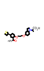 CCCC(=O)c1cc(-c2ccsc2)ccc1OCCCOc1ccc2c(ccn2C(C)C(=O)O)c1